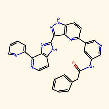 O=C(Cc1ccccc1)Nc1cncc(-c2ccc3[nH]nc(-c4nc5c(-c6ccccn6)nccc5[nH]4)c3n2)c1